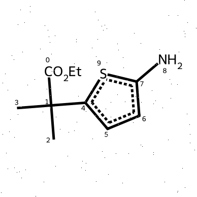 CCOC(=O)C(C)(C)c1ccc(N)s1